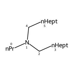 [CH2]CCN(CCCCCCCC)CCCCCCCC